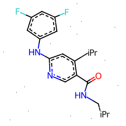 CC(C)CNC(=O)c1cnc(Nc2cc(F)cc(F)c2)cc1C(C)C